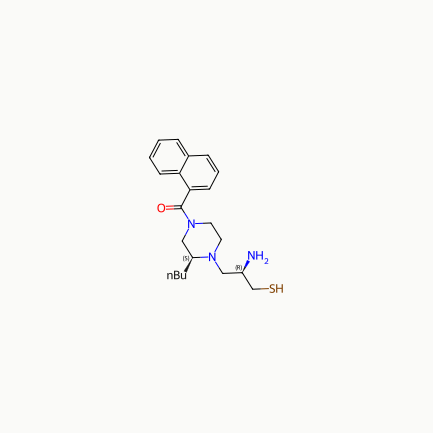 CCCC[C@H]1CN(C(=O)c2cccc3ccccc23)CCN1C[C@@H](N)CS